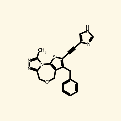 Cc1nnc2n1-c1sc(C#Cc3c[nH]cn3)c(Cc3ccccc3)c1COC2